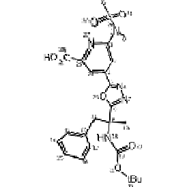 CN(c1cc(-c2nnc([C@@](C)(Cc3ccccc3)NC(=O)OC(C)(C)C)o2)cc(C(=O)O)n1)S(C)(=O)=O